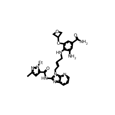 CCn1nc(C)cc1C(=O)Nc1nc2cccnc2n1C/C=C/CNc1c(N)cc(C(N)=O)cc1OC1COC1